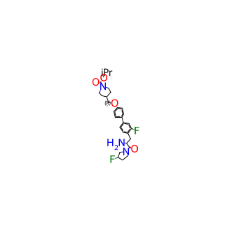 CC(C)OC(=O)N1CCC([C@@H](C)Oc2ccc(-c3ccc(CC(N)C(=O)N4CCC(F)C4)c(F)c3)cc2)CC1